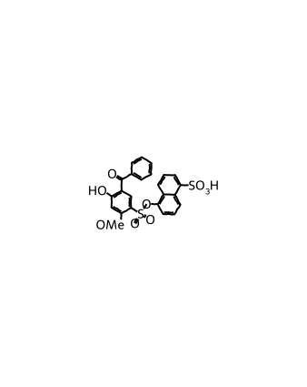 COc1cc(O)c(C(=O)c2ccccc2)cc1S(=O)(=O)Oc1cccc2c(S(=O)(=O)O)cccc12